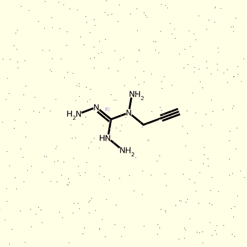 C#CCN(N)/C(=N/N)NN